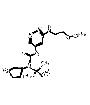 COCCNc1cc(OC(=O)N(C2CCNC2)C(C)(C)C)cnn1